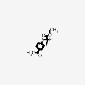 CCOC(=O)C(F)(F)Sc1ccc(C(C)=O)cc1